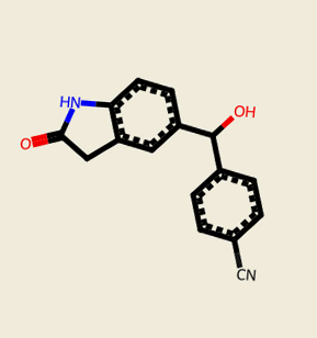 N#Cc1ccc(C(O)c2ccc3c(c2)CC(=O)N3)cc1